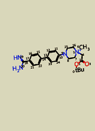 CC(C)(C)OC(=O)C[N+]1(C)CCN(c2ccc(-c3ccc(C(=N)N)cc3)cc2)CC1